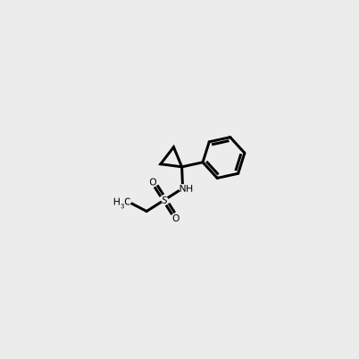 CCS(=O)(=O)NC1(c2ccccc2)CC1